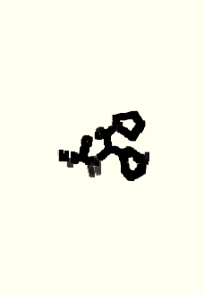 BC(=O)NC(C(=O)N1CCCC1)c1cccnc1